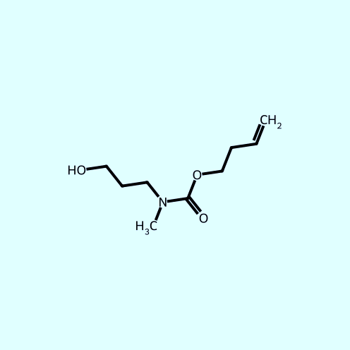 C=CCCOC(=O)N(C)CCCO